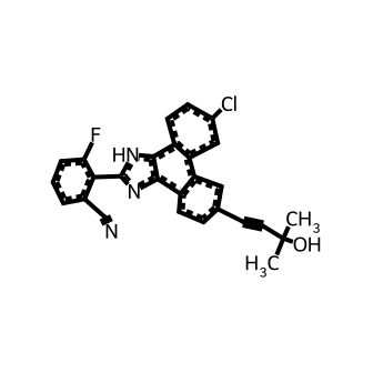 CC(C)(O)C#Cc1ccc2c(c1)c1cc(Cl)ccc1c1[nH]c(-c3c(F)cccc3C#N)nc21